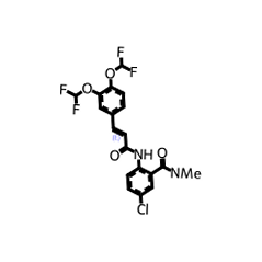 CNC(=O)c1cc(Cl)ccc1NC(=O)/C=C/c1ccc(OC(F)F)c(OC(F)F)c1